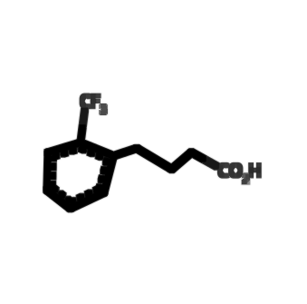 O=C(O)CCCc1ccccc1C(F)(F)F